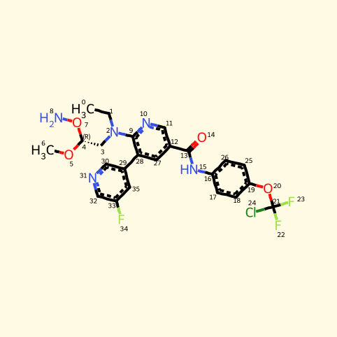 CCN(C[C@H](OC)ON)c1ncc(C(=O)Nc2ccc(OC(F)(F)Cl)cc2)cc1-c1cncc(F)c1